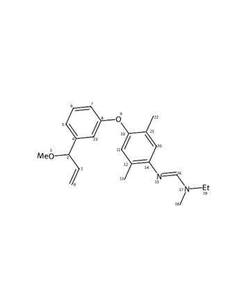 C=CC(OC)c1cccc(Oc2cc(C)c(/N=C/N(C)CC)cc2C)c1